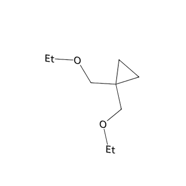 CCOCC1(COCC)CC1